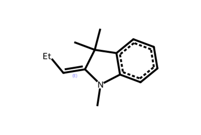 CC/C=C1/N(C)c2ccccc2C1(C)C